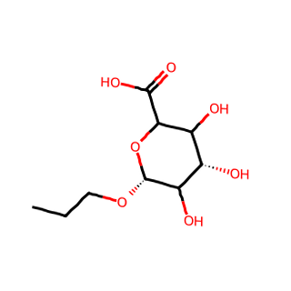 CCCO[C@@H]1OC(C(=O)O)C(O)[C@H](O)C1O